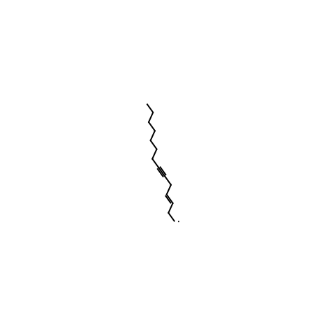 [CH2]CC=CCC#CCCCCCCC